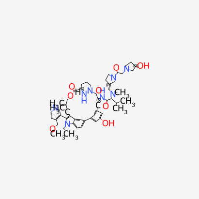 CCn1c(-c2cnccc2COC)c2c3cc(ccc31)-c1cc(O)cc(c1)C[C@H](NC(=O)C(C(C)C)N(C)C[C@H]1CCN(C(=O)CN3CC[C@@H](O)C3)C1)C(=O)N1CCC[C@H](N1)C(=O)OCC(C)(C)C2